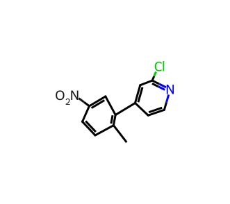 Cc1ccc([N+](=O)[O-])cc1-c1ccnc(Cl)c1